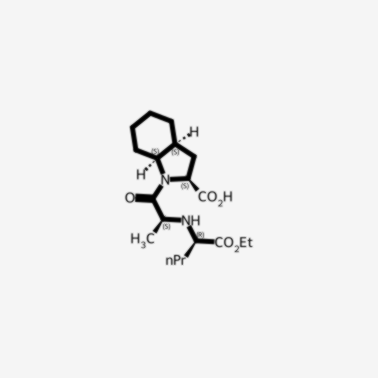 CCC[C@@H](N[C@@H](C)C(=O)N1[C@H](C(=O)O)C[C@@H]2CCCC[C@@H]21)C(=O)OCC